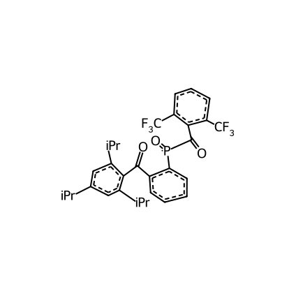 CC(C)c1cc(C(C)C)c(C(=O)c2ccccc2[P](=O)C(=O)c2c(C(F)(F)F)cccc2C(F)(F)F)c(C(C)C)c1